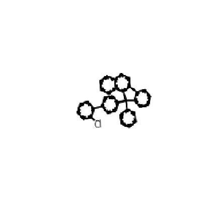 Clc1ccccc1-c1ccc(C2(c3ccccc3)c3ccccc3-c3ccc4ccccc4c32)cc1